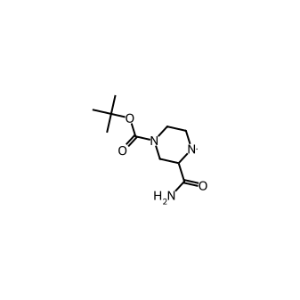 CC(C)(C)OC(=O)N1CC[N]C(C(N)=O)C1